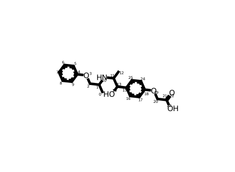 CC(COc1ccccc1)NC(C)C(O)c1ccc(OCC(=O)O)cc1